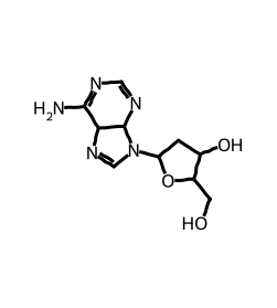 NC1=NC=NC2C1N=CN2C1CC(O)C(CO)O1